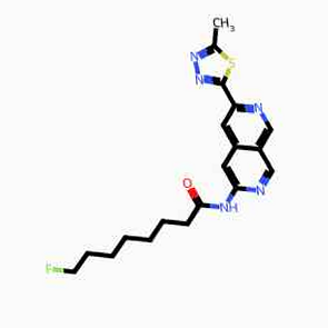 Cc1nnc(-c2cc3cc(NC(=O)CCCCCCCF)ncc3cn2)s1